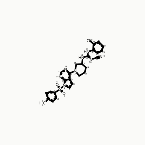 Cc1ccc(S(=O)(=O)n2ccc3c(N4CCCC(NC(=NC#N)Nc5ccccc5Cl)C4)ncnc32)cc1